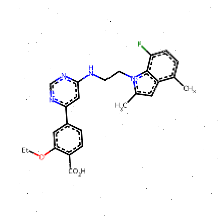 CCOc1cc(-c2cc(NCCn3c(C)cc4c(C)ccc(F)c43)ncn2)ccc1C(=O)O